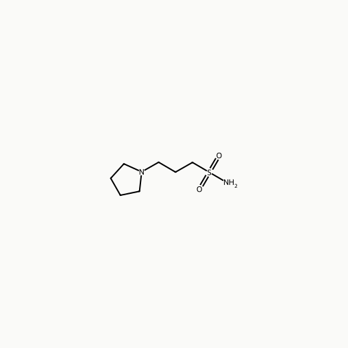 NS(=O)(=O)CCCN1CCCC1